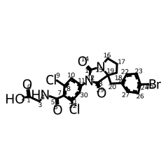 O=C(O)CNC(=O)c1c(Cl)cc(N2C(=O)N3CCCC3(Cc3ccc(Br)cc3)C2=O)cc1Cl